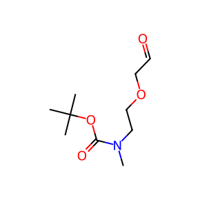 CN(CCOCC=O)C(=O)OC(C)(C)C